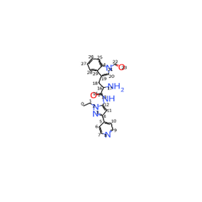 CCn1nc(-c2ccncc2)cc1NC(=O)C(N)Cc1cn(C=O)c2ccccc12